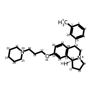 Cc1cccc([C@@H]2CN3CCC[C@H]3c3cc(OCCCN4CCCCC4)ccc32)c1